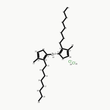 CCCCCCCCC1=[C]([Zr+2][C]2=C(CCCCCCCC)C(C)=CC2)CC=C1C.[Cl-].[Cl-]